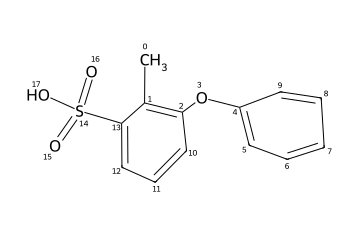 Cc1c(Oc2ccccc2)cccc1S(=O)(=O)O